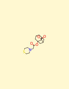 O=C(CN1CCSCC1)OC12CC3CC(C1)OC(=O)C(C3)C2